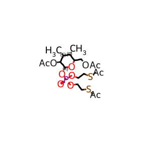 CC(=O)OCC1O[C@H](OP(=O)(OCCSC(C)=O)OCCSC(C)=O)C(OC(C)=O)[C@@H](C)[C@@H]1C